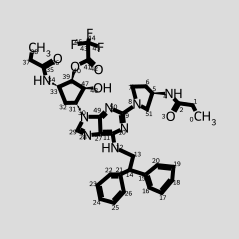 CCC(=O)N[C@@H]1CCN(c2nc(NCC(c3ccccc3)c3ccccc3)c3ncn([C@@H]4C[C@H](NC(=O)CC)[C@@H](OC(=O)C(F)(F)F)[C@H]4O)c3n2)C1